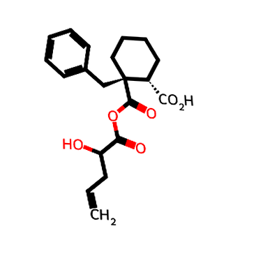 C=CCC(O)C(=O)OC(=O)[C@]1(Cc2ccccc2)CCCC[C@@H]1C(=O)O